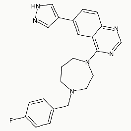 Fc1ccc(CN2CCCN(c3ncnc4ccc(-c5cn[nH]c5)cc34)CC2)cc1